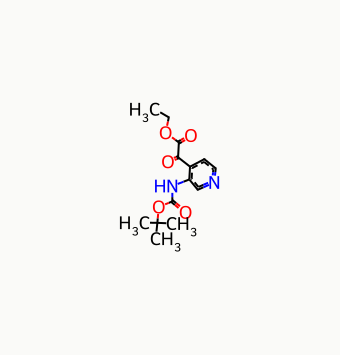 CCOC(=O)C(=O)c1ccncc1NC(=O)OC(C)(C)C